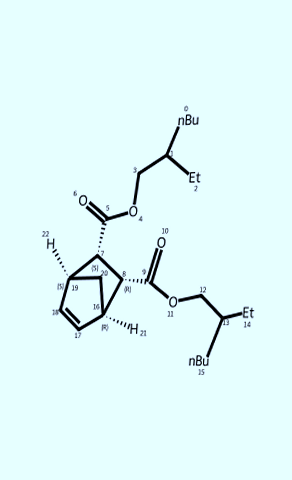 CCCCC(CC)COC(=O)[C@@H]1[C@H](C(=O)OCC(CC)CCCC)[C@H]2C=C[C@@H]1C2